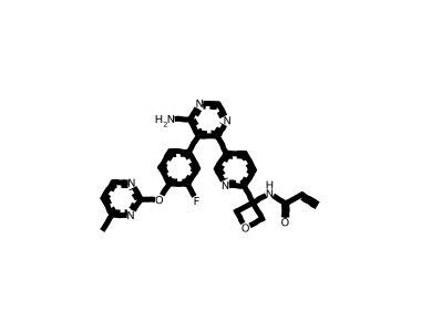 C=CC(=O)NC1(c2ccc(-c3ncnc(N)c3-c3ccc(Oc4nccc(C)n4)c(F)c3)cn2)COC1